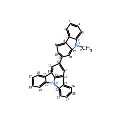 Cn1c2ccccc2c2ccc(-c3cc4c5ccccc5n5c6ccccc6c(c3)c45)cc21